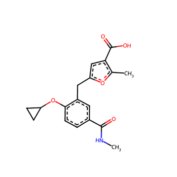 CNC(=O)c1ccc(OC2CC2)c(Cc2cc(C(=O)O)c(C)o2)c1